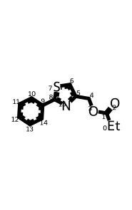 CCC(=O)OCc1csc(-c2ccccc2)n1